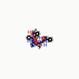 CCC[C@H](NC(=O)[C@H](CC(C)C)NC(=O)[C@@H](NC(=O)c1c(F)ccc(F)c1C(=O)O)C1CCCCC1)C(=O)C(=O)NCC(=O)N[C@H](C(C)=O)c1ccccc1